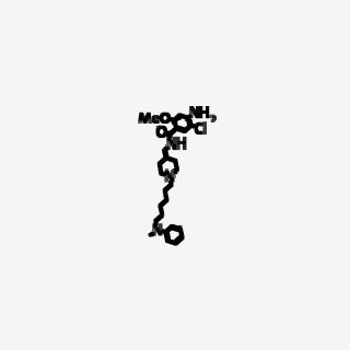 COc1cc(N)c(Cl)cc1C(=O)NCC1CCN(CCCCCCN(C)c2ccccc2)CC1